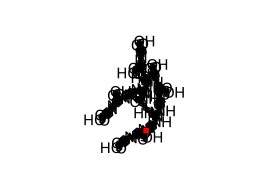 Cc1cc(Nc2nc(NCCCCC(Nc3nc(Nc4ccc(N=Nc5ccc(N=Nc6ccc(S(=O)(=O)O)cc6)cc5S(=O)(=O)O)c(C)c4)nc(Nc4ccc(N=Nc5ccc(N=Nc6ccc(S(=O)(=O)O)cc6)cc5S(=O)(=O)O)c(C)c4)n3)C(=O)O)nc(Nc3ccc(N=Nc4ccc(N=Nc5ccc(S(=O)(=O)O)cc5)cc4S(=O)(=O)O)c(C)c3)n2)ccc1N=Nc1ccc(N=Nc2ccc(S(=O)(=O)O)cc2)cc1S(=O)(=O)O